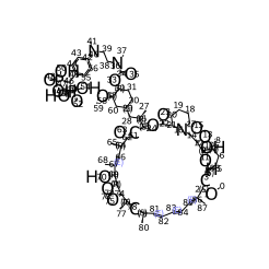 CO[C@H]1C[C@@H]2CC[C@@H](C)[C@@](O)(O2)C(=O)C(=O)N2CCCCC2C(=O)O[C@H]([C@H](C)C[C@@H]2CC[C@@H](OC(=O)N(C)CCN(C)c3ccc(C(P(=O)(O)O)P(=O)(O)O)cc3)[C@H](OC)C2)CC(=O)[C@H](C)/C=C(\C)[C@@H](O)[C@@H](OC)C(=O)[C@H](C)C[C@H](C)/C=C/C=C/C=C/1C